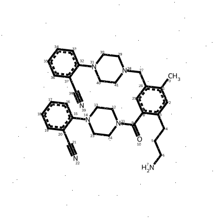 Cc1cc(CCCN)c(C(=O)N2CCN(c3ccccc3C#N)CC2)cc1CN1CCN(c2ccccc2C#N)CC1